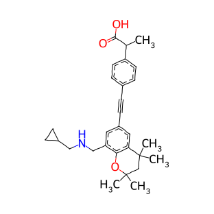 CC(C(=O)O)c1ccc(C#Cc2cc(CNCC3CC3)c3c(c2)C(C)(C)CC(C)(C)O3)cc1